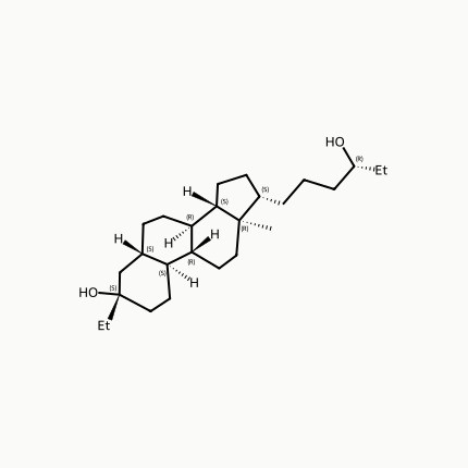 CC[C@@H](O)CCC[C@H]1CC[C@H]2[C@@H]3CC[C@H]4C[C@](O)(CC)CC[C@@H]4[C@H]3CC[C@]12C